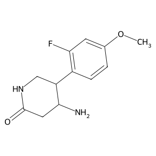 COc1ccc(C2CNC(=O)CC2N)c(F)c1